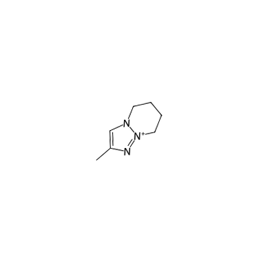 Cc1cn2[n+](n1)CCCC2